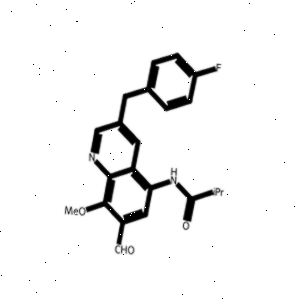 COc1c(C=O)cc(NC(=O)C(C)C)c2cc(Cc3ccc(F)cc3)cnc12